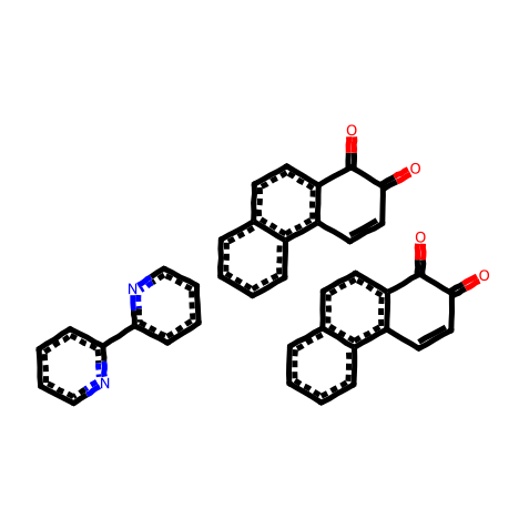 O=C1C=Cc2c(ccc3ccccc23)C1=O.O=C1C=Cc2c(ccc3ccccc23)C1=O.c1ccc(-c2ccccn2)nc1